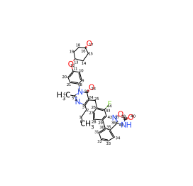 CCCc1nc(C)n(-c2ccc(OC3CCC(=O)CC3)cc2)c(=O)c1Cc1ccc(-c2ccccc2-c2noc(=O)[nH]2)cc1F